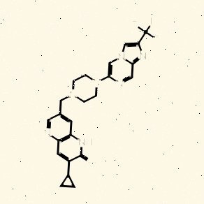 O=c1[nH]c2cc(CN3CCN(c4cn5cc(C(F)(F)F)nc5cn4)CC3)cnc2cc1C1CC1